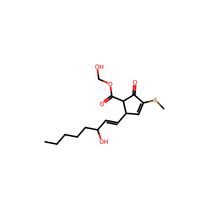 CCCCCC(O)C=CC1C=C(SC)C(=O)C1C(=O)OCO